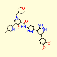 COc1ccc(C2=CNC(N)C(c3ccc(NC(=O)c4cn(CC5CCOCC5)cc(-c5ccc(C)cn5)c4=O)nn3)=C2)cc1OC